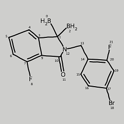 BC1(B)c2cccc(F)c2C(=O)N1Cc1ccc(Br)cc1F